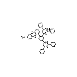 N#Cc1ccc2c(c1)Oc1cccc(-c3ccc(-c4cc(-c5ccccc5)nc(-c5ccccc5)n4)cc3C3=NC(c4ccccc4)NC(c4ccccc4)=C3)c1O2